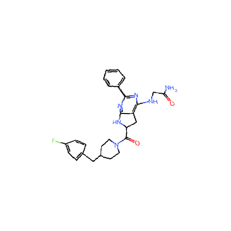 NC(=O)CNc1nc(-c2ccccc2)nc2c1CC(C(=O)N1CCC(Cc3ccc(F)cc3)CC1)N2